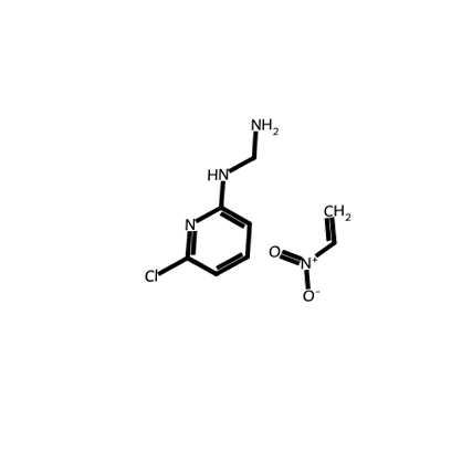 C=C[N+](=O)[O-].NCNc1cccc(Cl)n1